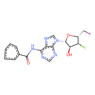 O=C(Nc1ncnc2c1ncn2[C@@H]1O[C@H](CI)[C@@H](F)[C@H]1O)c1ccccc1